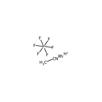 CC#N.F[P-](F)(F)(F)(F)F.[H+].[Rh]